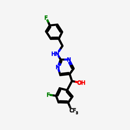 OC(c1cnc(NCc2ccc(F)cc2)nc1)c1cc(F)cc(C(F)(F)F)c1